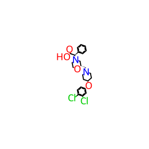 O=C(O)[C@@H](c1ccccc1)N1CCO[C@@H](CN2CCC(Oc3ccc(Cl)c(Cl)c3)CC2)C1